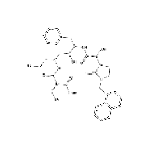 CCC(C)C(C(=O)NC(Cc1ccccc1)C(O)CN(CCC(C)(C)C)NC(=O)N(CC(C)(C)C)C(=O)OC)N1CCN(Cc2ccnc3ccccc23)C1=O